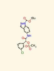 CC(C)(C)OC(=O)n1ncc2cc(NC(=O)C(OS(C)(=O)=O)c3cccc(Cl)c3)ccc21